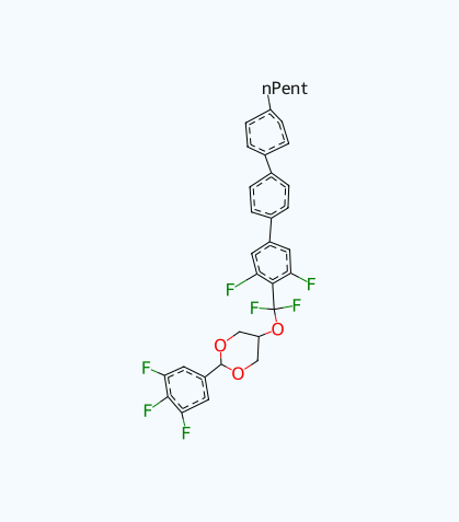 CCCCCc1ccc(-c2ccc(-c3cc(F)c(C(F)(F)OC4COC(c5cc(F)c(F)c(F)c5)OC4)c(F)c3)cc2)cc1